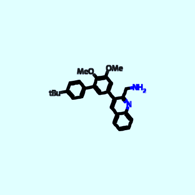 COc1cc(-c2cc3ccccc3nc2CN)cc(-c2ccc(C(C)(C)C)cc2)c1OC